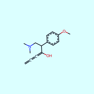 C=C=C=C(O)C(CN(C)C)c1ccc(OC)cc1